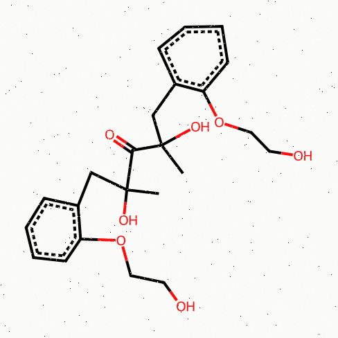 CC(O)(Cc1ccccc1OCCO)C(=O)C(C)(O)Cc1ccccc1OCCO